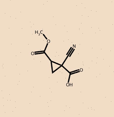 COC(=O)C1CC1(C#N)C(=O)O